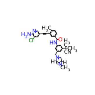 Cc1ccc(C(=O)Nc2cc(CN3C[C@H]4C[C@@H]3CN4C)cc(C(C)(C)C#N)c2)cc1C#Cc1cnc(N)c(Cl)c1